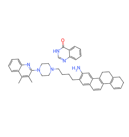 Cc1c(N2CCN(CCCCc3cc4ccc5c(c4cc3N)CCC3=C5C=CCC3)CC2)nc2ccccc2c1C.O=c1[nH]cnc2ccccc12